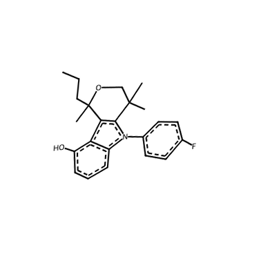 CCCC1(C)OCC(C)(C)c2c1c1c(O)cccc1n2-c1ccc(F)cc1